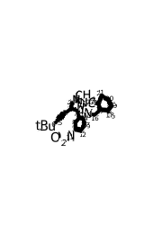 Cn1cc(C#CC(C)(C)C)c(-c2cc([N+](=O)[O-])ccc2NCc2ccccc2C#N)n1